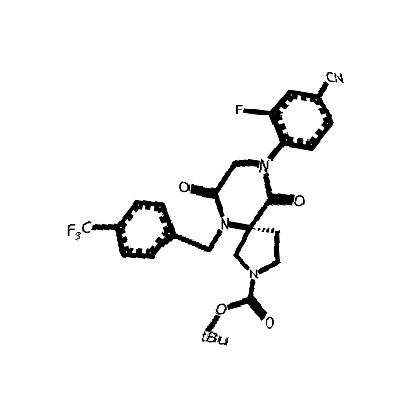 CC(C)(C)OC(=O)N1CC[C@@]2(C1)C(=O)N(c1ccc(C#N)cc1F)CC(=O)N2Cc1ccc(C(F)(F)F)cc1